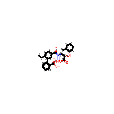 CCc1ccc(C(=O)N[C@H](Cc2ccccc2)[C@@H](O)C(=O)O)cc1-c1ccccc1C(=O)O